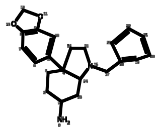 NC1CCC2(c3ccc4c(c3)OCO4)CCN(Cc3ccccc3)C2C1